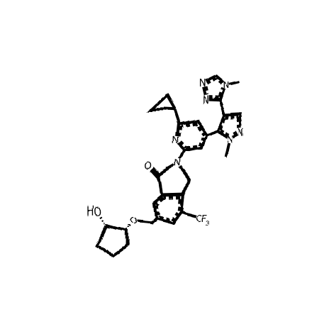 Cn1cnnc1-c1cnn(C)c1-c1cc(C2CC2)nc(N2Cc3c(cc(CO[C@@H]4CCC[C@@H]4O)cc3C(F)(F)F)C2=O)c1